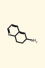 NC1C=C2C=CC=NC2CC1